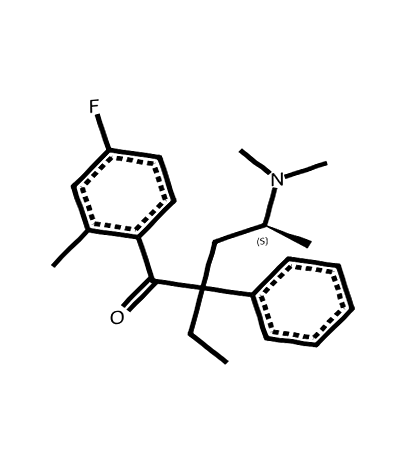 CCC(C[C@H](C)N(C)C)(C(=O)c1ccc(F)cc1C)c1ccccc1